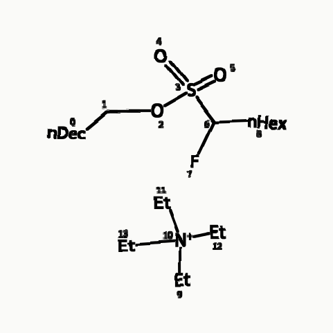 CCCCCCCCCCCOS(=O)(=O)C(F)CCCCCC.CC[N+](CC)(CC)CC